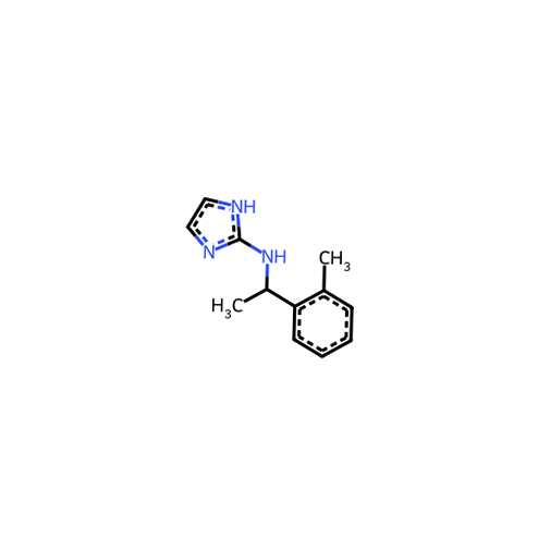 Cc1ccccc1C(C)Nc1ncc[nH]1